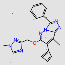 Cc1c(C2=CC=C2)c(OCc2ncn(C)n2)nn2c(-c3ccccc3)nnc12